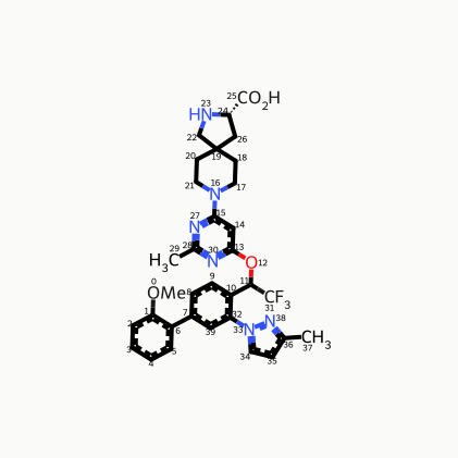 COc1ccccc1-c1ccc(C(Oc2cc(N3CCC4(CC3)CN[C@H](C(=O)O)C4)nc(C)n2)C(F)(F)F)c(-n2ccc(C)n2)c1